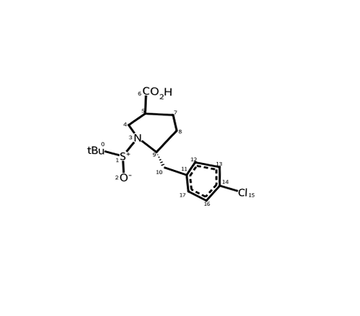 CC(C)(C)[S+]([O-])N1CC(C(=O)O)CC[C@@H]1Cc1ccc(Cl)cc1